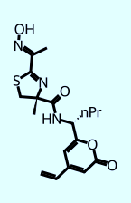 C=Cc1cc([C@@H](CCC)NC(=O)[C@]2(C)CSC(/C(C)=N/O)=N2)oc(=O)c1